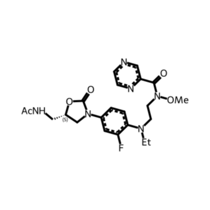 CCN(CCN(OC)C(=O)c1cnccn1)c1ccc(N2C[C@H](CNC(C)=O)OC2=O)cc1F